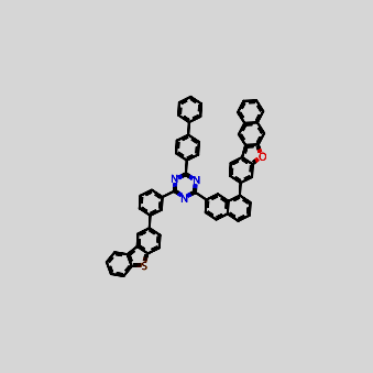 c1ccc(-c2ccc(-c3nc(-c4cccc(-c5ccc6sc7ccccc7c6c5)c4)nc(-c4ccc5cccc(-c6ccc7c(c6)oc6cc8ccccc8cc67)c5c4)n3)cc2)cc1